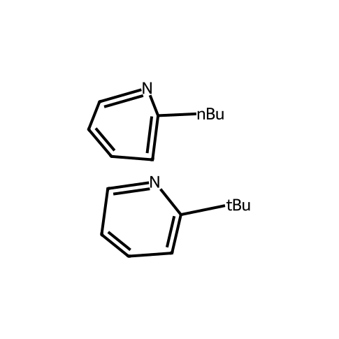 CC(C)(C)c1ccccn1.CCCCc1ccccn1